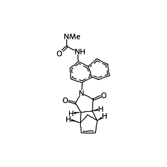 CNC(=O)Nc1ccc(N2C(=O)[C@@H]3[C@H](C2=O)[C@@H]2C=C[C@H]3C2)c2ccccc12